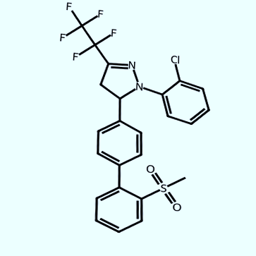 CS(=O)(=O)c1ccccc1-c1ccc(C2CC(C(F)(F)C(F)(F)F)=NN2c2ccccc2Cl)cc1